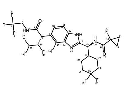 CC(F)(F)CNC(=O)[C@H](c1ccc2[nH]c([C@@H](NC(=O)C3(F)CC3)C3CCC(F)(F)CC3)nc2c1F)C(F)C(F)F